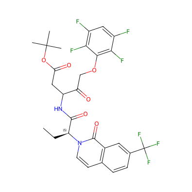 CC[C@@H](C(=O)NC(CC(=O)OC(C)(C)C)C(=O)COc1c(F)c(F)cc(F)c1F)n1ccc2ccc(C(F)(F)F)cc2c1=O